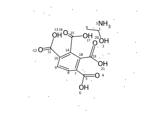 CCO.N.O=C(O)c1ccc(C(=O)O)c(C(=O)O)c1C(=O)O